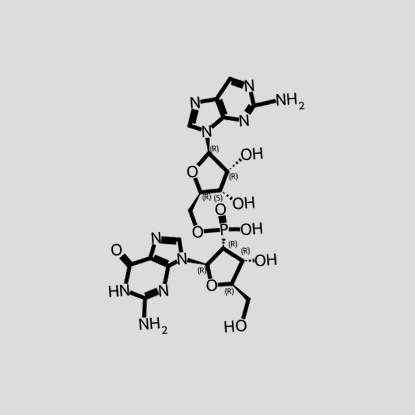 Nc1ncc2ncn([C@@H]3O[C@H](COP(=O)(O)[C@@H]4[C@H](O)[C@@H](CO)O[C@H]4n4cnc5c(=O)[nH]c(N)nc54)[C@@H](O)[C@H]3O)c2n1